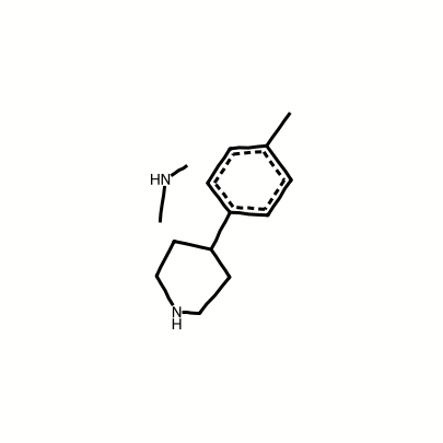 CNC.Cc1ccc(C2CCNCC2)cc1